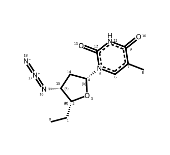 CC[C@H]1O[C@@H](n2cc(C)c(=O)[nH]c2=O)C[C@H]1N=[N+]=[N-]